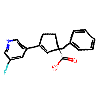 O=C(O)[C@]1(c2ccccc2)C=C(c2cncc(F)c2)CC1